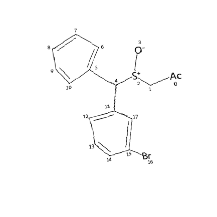 CC(=O)C[S+]([O-])C(c1ccccc1)c1cccc(Br)c1